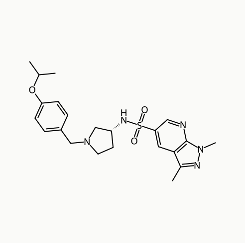 Cc1nn(C)c2ncc(S(=O)(=O)N[C@@H]3CCN(Cc4ccc(OC(C)C)cc4)C3)cc12